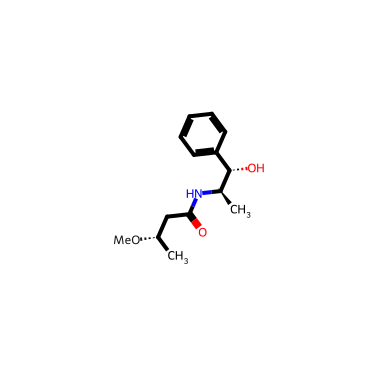 CO[C@@H](C)CC(=O)N[C@H](C)[C@@H](O)c1ccccc1